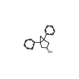 OC1CC2(c3ccccc3)CC2(c2ccccc2)C1